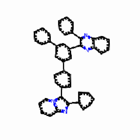 c1ccc(-c2cc(-c3ccc(-c4c(-c5ccccc5)nc5ccccn45)cc3)cc(-c3nc4ccccc4nc3-c3ccccc3)c2)cc1